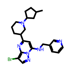 CC1CCC(N2CCCC(c3cc(NCc4cccnc4)n4ncc(Br)c4n3)C2)C1